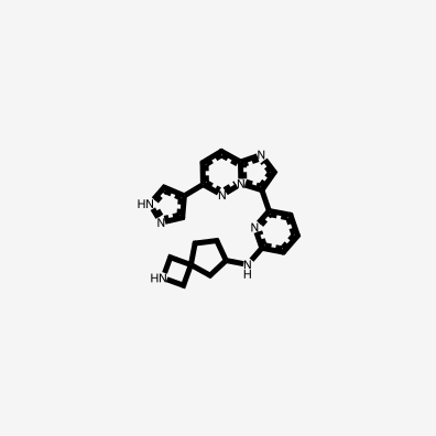 c1cc(NC2CCC3(CNC3)C2)nc(-c2cnc3ccc(-c4cn[nH]c4)nn23)c1